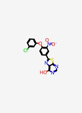 O=[N+]([O-])c1cc(-c2nc3c(O)ncnc3s2)ccc1Oc1cccc(Cl)c1